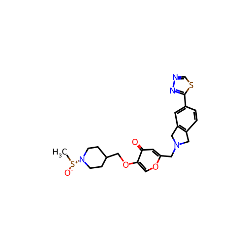 C[S+]([O-])N1CCC(COc2coc(CN3Cc4ccc(-c5nncs5)cc4C3)cc2=O)CC1